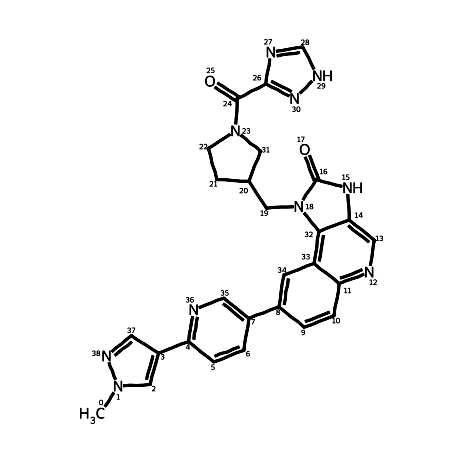 Cn1cc(-c2ccc(-c3ccc4ncc5[nH]c(=O)n(CC6CCN(C(=O)c7nc[nH]n7)C6)c5c4c3)cn2)cn1